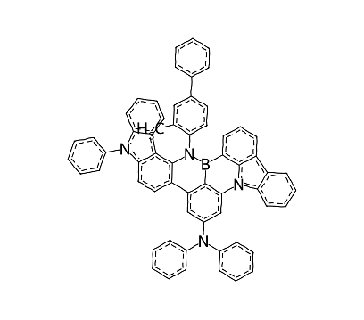 Cc1cc(-c2ccccc2)ccc1N1B2c3c(cc(N(c4ccccc4)c4ccccc4)cc3-n3c4ccccc4c4cccc2c43)-c2ccc3c(c21)c1ccccc1n3-c1ccccc1